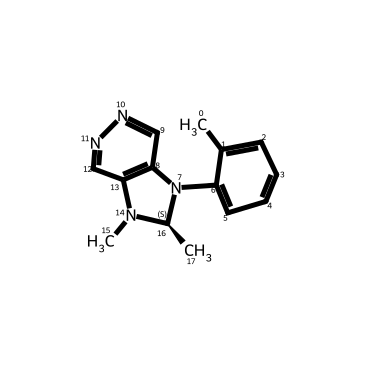 Cc1ccccc1N1c2cnncc2N(C)[C@@H]1C